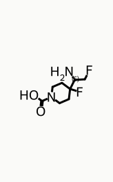 N[C@@H](CF)C1(F)CCN(C(=O)O)CC1